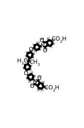 CC(C)(c1ccc(Oc2ccc(N3C(=O)c4ccc(C(=O)O)cc4C3=O)cc2)cc1)c1ccc(Oc2ccc(N3C(=O)c4ccc(C(=O)O)cc4C3=O)cc2)cc1